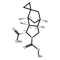 COC(=O)[C@@H]1[C@@H]2[C@H](CN1C(=O)OC(C)(C)C)[C@H]1C[C@@H]2C2(CC2)C1